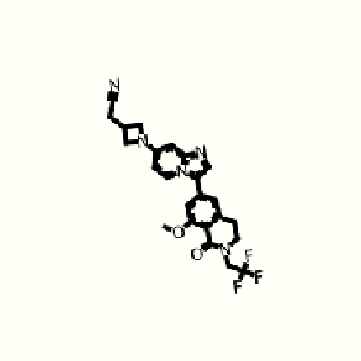 COc1cc(-c2cnc3cc(N4CC(CC#N)C4)ccn23)cc2c1C(=O)N(CC(F)(F)F)CC2